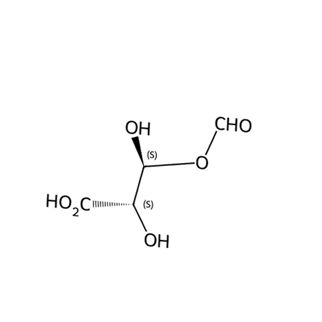 O=CO[C@H](O)[C@H](O)C(=O)O